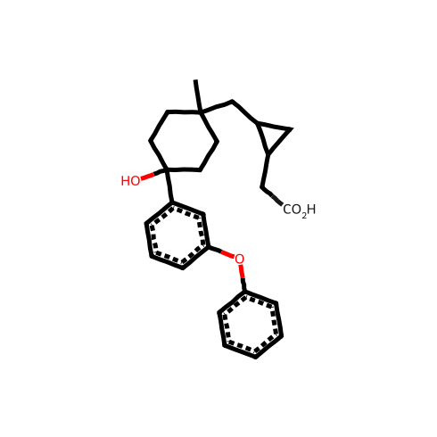 CC1(CC2CC2CC(=O)O)CCC(O)(c2cccc(Oc3ccccc3)c2)CC1